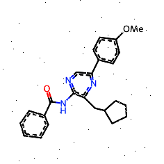 COc1ccc(-c2cnc(NC(=O)c3ccccc3)c(CC3CCCC3)n2)cc1